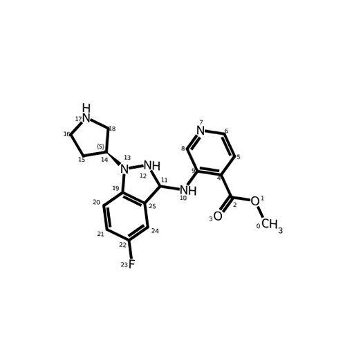 COC(=O)c1ccncc1NC1NN([C@H]2CCNC2)c2ccc(F)cc21